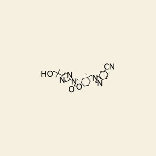 CC(C)(CO)c1cnc(N2C[C@]3(CCC[C@](C)(Cn4cnc5ccc(C#N)cc54)C3)OC2=O)cn1